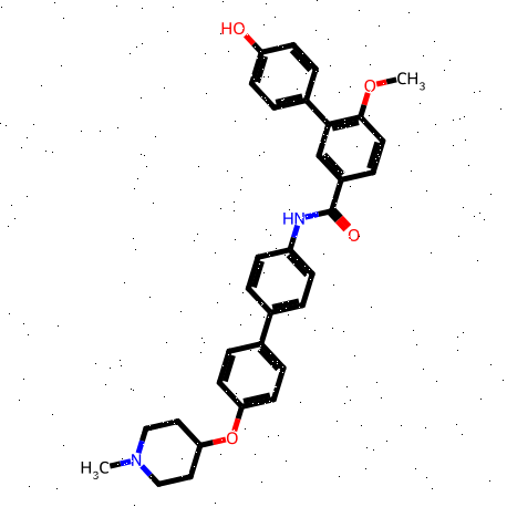 COc1ccc(C(=O)Nc2ccc(-c3ccc(OC4CCN(C)CC4)cc3)cc2)cc1-c1ccc(O)cc1